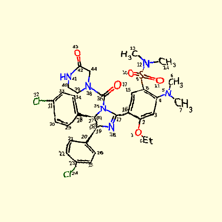 CCOc1cc(N(C)C)c(S(=O)(=O)N(C)C)cc1C1=N[C@@H](c2ccc(Cl)cc2)[C@@H](c2ccc(Cl)cc2)N1C(=O)N1CCNC(=O)C1